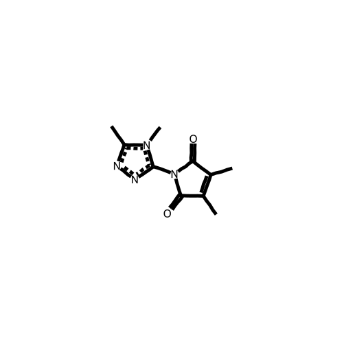 CC1=C(C)C(=O)N(c2nnc(C)n2C)C1=O